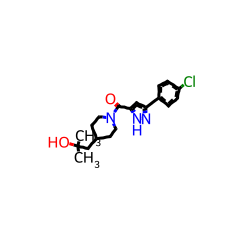 CC(C)(O)CC1CCN(C(=O)c2cc(-c3ccc(Cl)cc3)n[nH]2)CC1